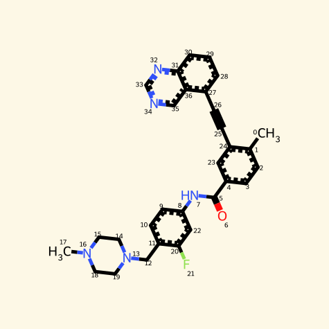 Cc1ccc(C(=O)Nc2ccc(CN3CCN(C)CC3)c(F)c2)cc1C#Cc1cccc2ncncc12